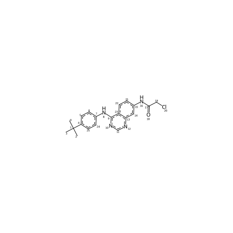 CC(C)(C)c1ccc(Nc2ncnc3cc(NC(=O)CCl)ccc23)cc1